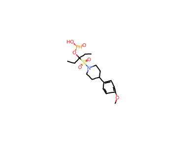 CCC(CC)(O[PH](=O)O)S(=O)(=O)N1CCC(c2ccc(OC)cc2)CC1